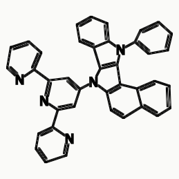 c1ccc(-n2c3ccccc3c3c2c2c4ccccc4ccc2n3-c2cc(-c3ccccn3)nc(-c3ccccn3)c2)cc1